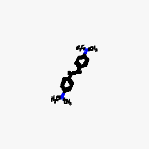 CN(C)c1ccc([Se][Se]c2ccc(N(C)C)cc2)cc1